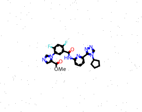 COC(=O)c1cncn1-c1cc(C(=O)Nc2cccc(-c3nncn3C3CCCC3)n2)c(F)cc1F